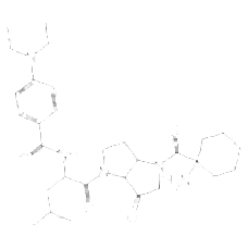 CCN(CC)c1ccc(C(=O)NC(CC(C)C)C(=O)N2CCC3C2C(=O)CN3C(=O)C2(N)CCCCC2)cc1